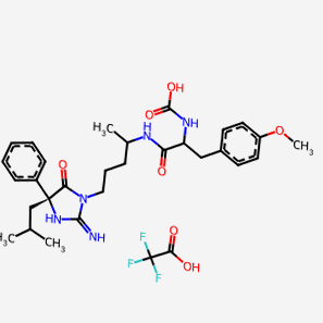 COc1ccc(CC(NC(=O)O)C(=O)NC(C)CCCN2C(=N)N[C@](CC(C)C)(c3ccccc3)C2=O)cc1.O=C(O)C(F)(F)F